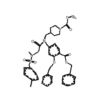 Cc1ccc(S(=O)(=O)N(C)CC(=O)N(CC2CCN(C(=O)OC(C)(C)C)CC2)c2ccc(C(=O)OCc3ccccc3)c(OCc3ccccc3)c2)cc1